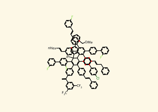 C=C(c1ccc(C2=C(c3ccc(-c4cccc(F)c4)cc3F)C(c3ccc(-c4ccccc4COC)cc3)(C(C)C)C(c3c(-c4ccc(/C=C/CCCCCC)cc4)c(-c4ccc(/C=C/c5cccc(F)c5)cc4)[c]c(-c4ccc(-c5ccccc5F)cc4)c3-c3ccc(-c4ccc(Cl)cc4)cc3)C(c3ccc(/C=C/Cc4ccccc4)cc3)=C2c2ccc(/C=C/c3ccccc3)cc2)cc1)c1cc(C(F)(F)F)cc(C(F)(F)F)c1